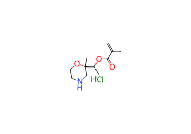 C=C(C)C(=O)OC(C)C1(C)CNCCO1.Cl